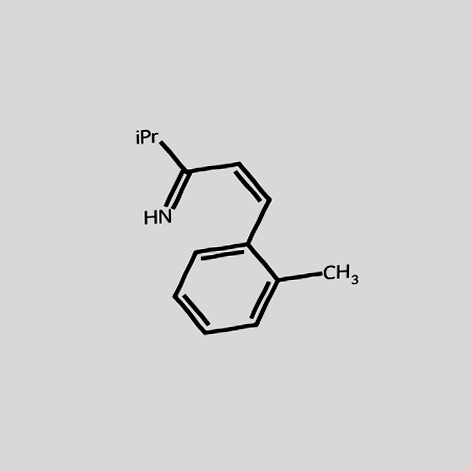 Cc1ccccc1/C=C\C(=N)C(C)C